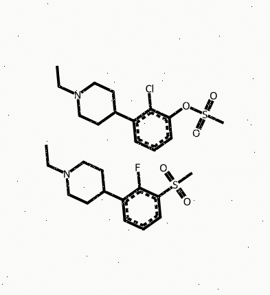 CCN1CCC(c2cccc(OS(C)(=O)=O)c2Cl)CC1.CCN1CCC(c2cccc(S(C)(=O)=O)c2F)CC1